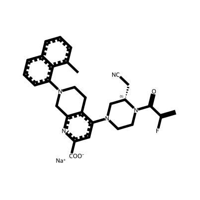 C=C(F)C(=O)N1CCN(c2cc(C(=O)[O-])nc3c2CCN(c2cccc4cccc(C)c24)C3)C[C@@H]1CC#N.[Na+]